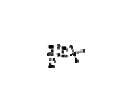 CCCCN.CCCCN.CCCCN.CCCCN.[O-][Cl+3]([O-])([O-])O